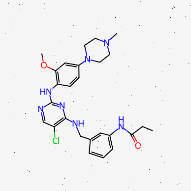 CCC(=O)Nc1cccc(CNc2nc(Nc3ccc(N4CCN(C)CC4)cc3OC)ncc2Cl)c1